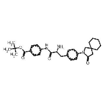 CC(C)(C)OC(=O)c1ccc(NC(=O)[C@@H](N)Cc2ccc(N3CC4(CCCCC4)CC3=O)cc2)cc1